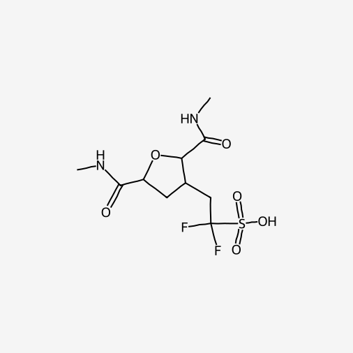 CNC(=O)C1CC(CC(F)(F)S(=O)(=O)O)C(C(=O)NC)O1